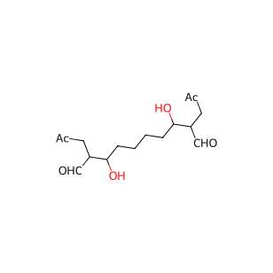 CC(=O)CC(C=O)C(O)CCCCC(O)C(C=O)CC(C)=O